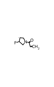 C=CC(=O)N1C[CH]C(F)C1